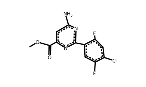 COC(=O)c1cc(N)nc(-c2cc(F)c(Cl)cc2F)n1